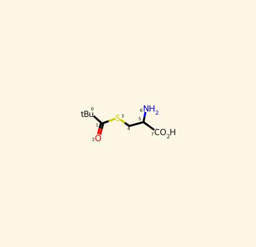 CC(C)(C)C(=O)SCC(N)C(=O)O